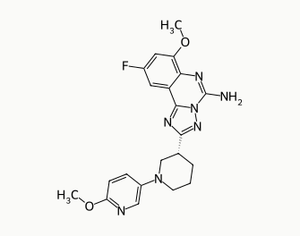 COc1ccc(N2CCC[C@@H](c3nc4c5cc(F)cc(OC)c5nc(N)n4n3)C2)cn1